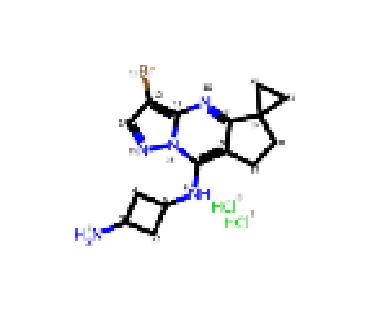 Cl.Cl.NC1CC(Nc2c3c(nc4c(Br)cnn24)C2(CC3)CC2)C1